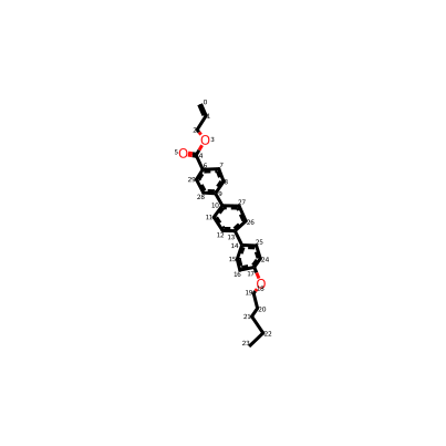 C=CCOC(=O)c1ccc(-c2ccc(-c3ccc(OCCCCC)cc3)cc2)cc1